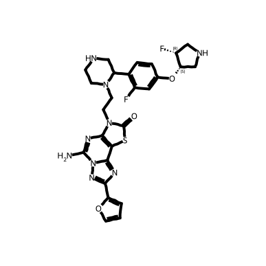 Nc1nc2c(sc(=O)n2CCN2CCNCC2c2ccc(O[C@H]3CNC[C@H]3F)cc2F)c2nc(-c3ccco3)nn12